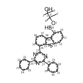 CC(C)(O)C(C)(C)OBc1cccc2sc3c(-c4nc(-c5ccccc5)nc(-c5ccccc5)n4)cccc3c12